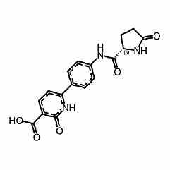 O=C1CC[C@@H](C(=O)Nc2ccc(-c3ccc(C(=O)O)c(=O)[nH]3)cc2)N1